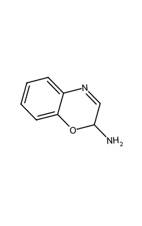 NC1C=Nc2ccccc2O1